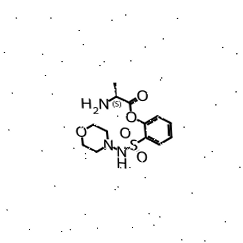 C[C@H](N)C(=O)Oc1ccccc1S(=O)(=O)NN1CCOCC1